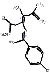 C=C(C)/C(C)=C(\N=C(/CC)c1ccc(Cl)cc1)C(CC)CCCC